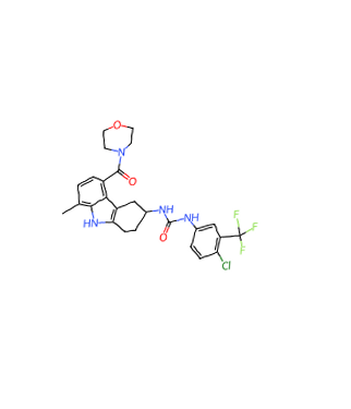 Cc1ccc(C(=O)N2CCOCC2)c2c3c([nH]c12)CCC(NC(=O)Nc1ccc(Cl)c(C(F)(F)F)c1)C3